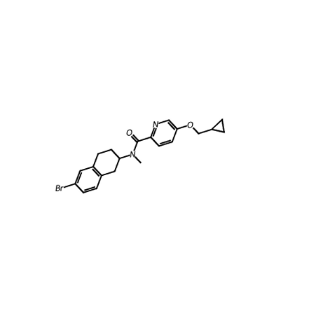 CN(C(=O)c1ccc(OCC2CC2)cn1)C1CCc2cc(Br)ccc2C1